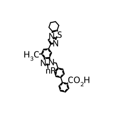 CCCc1nc2c(C)cc(-c3cn4c5c(sc4n3)CCCC5)cc2n1Cc1ccc(-c2ccccc2C(=O)O)cc1